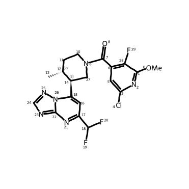 COc1nc(Cl)cc(C(=O)N2CC[C@@H](C)[C@H](c3cc(C(F)F)nc4ncnn34)C2)c1F